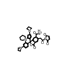 NC(=O)c1cc2c(cc1CC(Cl)N1C(=O)C=CC1=O)C(=O)OC21c2ccc(N3CCC3)cc2[Si]2(CCCCC2)c2cc(N3CCC3)ccc21